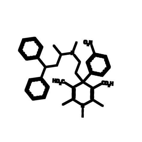 CC1=C(C(=O)O)C(CCN(C)C(C)CC(c2ccccc2)c2ccccc2)(c2cccc([N+](=O)[O-])c2)C(C(=O)O)=C(C)N1C